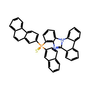 S=P(c1ccc2ccccc2c1)(c1ccc2c(ccc3ccccc32)c1)c1cccc2c1nc1c3ccccc3c3ccccc3n21